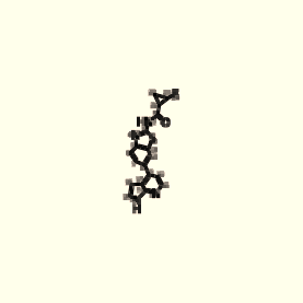 O=C(Nc1nc2ccc(-c3ccnc4[nH]ccc34)cc2s1)C1CC1F